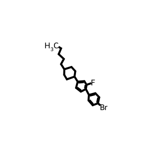 CCCCCC1CCC(c2ccc(-c3ccc(Br)cc3)c(F)c2)CC1